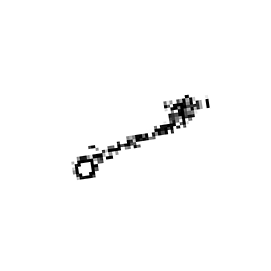 O=C(CCOCCOCCOCCOCCOCCC(=O)C1CCCCCCCCC1)ON1C(=O)CC(S(=O)(=O)O)C1=O